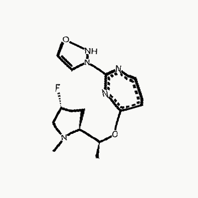 C[C@H](Oc1ccnc(N2C=CON2)n1)[C@@H]1C[C@@H](F)CN1C